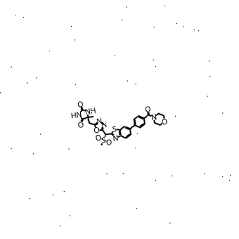 CC1(Cc2nnc(C(c3nc4ccc(-c5ccc(C(=O)N6CCOCC6)cc5)cc4s3)S(C)(=O)=O)o2)NC(=O)NC1=O